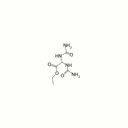 CCOC(=O)C(NC(N)=O)NC(N)=O